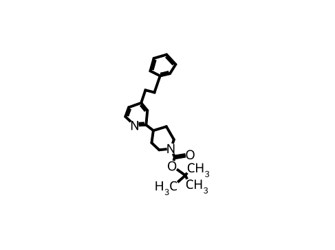 CC(C)(C)OC(=O)N1CCC(c2cc(CCc3ccccc3)ccn2)CC1